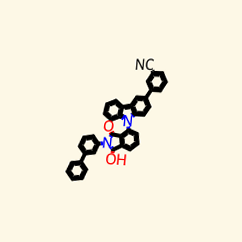 N#Cc1cccc(-c2ccc3c(c2)c2ccccc2n3-c2cccc3c2C(=O)N(c2cccc(-c4ccccc4)c2)C3O)c1